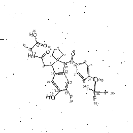 CCC1(CC)C(CC(=O)NC(C)C(=O)O)c2cc(O)c(F)cc2N1C(=O)c1ccc(OC(F)(F)F)cc1